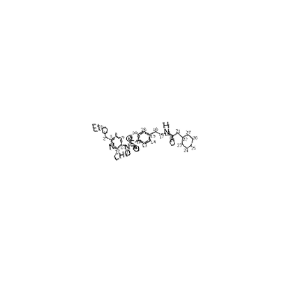 CCOCc1ccc(N(C=O)S(=O)(=O)c2ccc(CCNC(=O)CC3CCCCC3)cc2)cn1